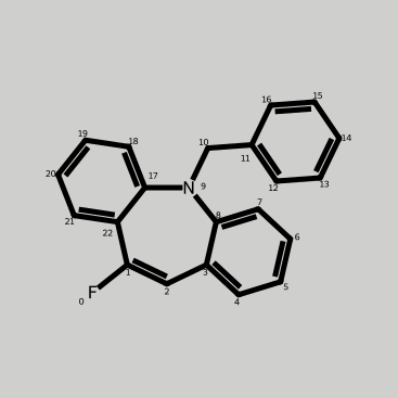 FC1=Cc2ccccc2N(Cc2ccccc2)c2ccccc21